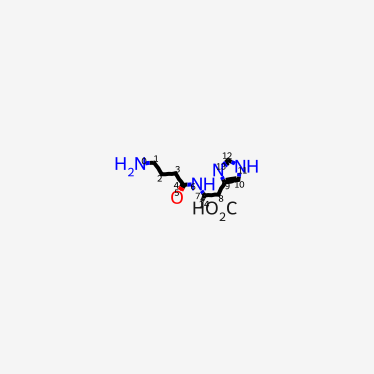 NCCCC(=O)NC(Cc1c[nH]cn1)C(=O)O